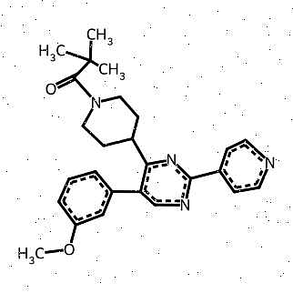 COc1cccc(-c2cnc(-c3ccncc3)nc2C2CCN(C(=O)C(C)(C)C)CC2)c1